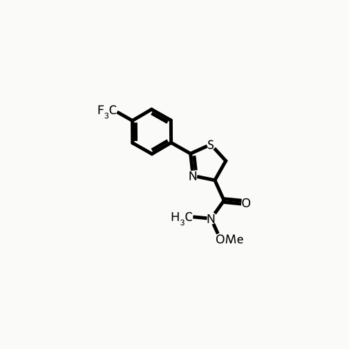 CON(C)C(=O)C1CSC(c2ccc(C(F)(F)F)cc2)=N1